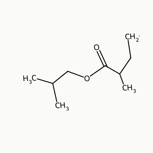 [CH2]CC(C)C(=O)OCC(C)C